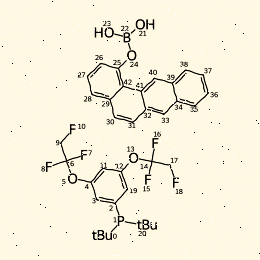 CC(C)(C)P(c1cc(OC(F)(F)CF)cc(OC(F)(F)CF)c1)C(C)(C)C.OB(O)Oc1cccc2ccc3cc4ccccc4cc3c12